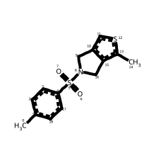 Cc1ccc(S(=O)(=O)N2Cc3csc(C)c3C2)cc1